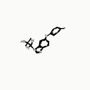 [2H]C([2H])(n1cnc2ccc(Oc3ccc(F)cc3)cc21)C(C)(C)O